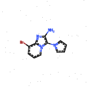 Nc1nc2c(Br)cccn2c1-n1cccc1